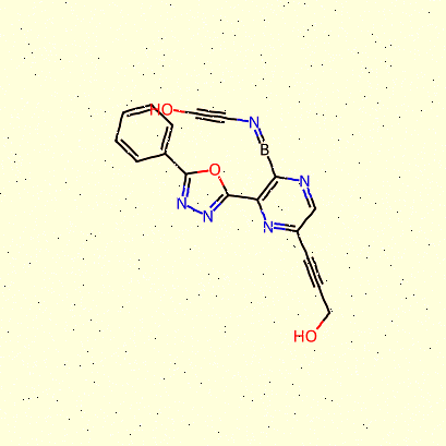 OC#C/N=B/c1ncc(C#CCO)nc1-c1nnc(-c2ccccc2)o1